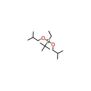 CC[Si](OCC(C)C)(OCC(C)C)C(C)(C)C